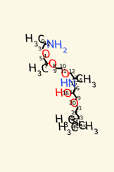 CC(N)COCC(C)OCCOCC(C)NCC(O)COCCC[Si](C)(C)C